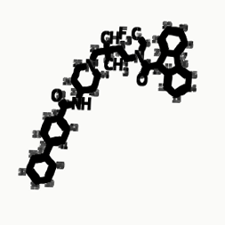 CC(C)(CCN(CC(F)(F)F)C(=O)C1c2ccccc2-c2ccccc21)CN1CCC(NC(=O)c2ccc(-c3ccccc3)cc2)CC1